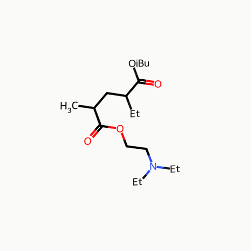 CCC(CC(C)C(=O)OCCN(CC)CC)C(=O)OCC(C)C